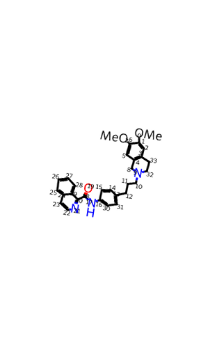 COc1cc2c(cc1OC)CN(CCCc1ccc(NC(=O)c3nccc4ccccc34)cc1)CC2